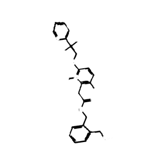 CNCc1ccccc1CNC(=O)Cc1c(C#N)ccc(NCC(F)(F)c2ccccn2)[n+]1[O-]